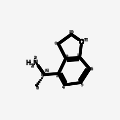 C[C@H](N)c1cccc2c1CCO2